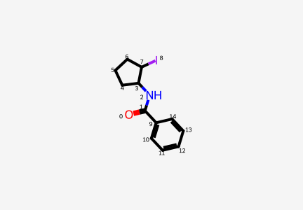 O=C(NC1CCCC1I)c1ccccc1